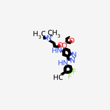 C#Cc1cc(Nc2ncnc3cc(OC4CCOC4)c(NC(=O)C=CCN(CC)CC)cc23)cc(F)c1F